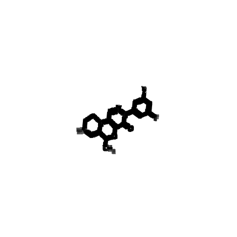 CC1Oc2c(cnn(-c3cc(F)cc(F)c3)c2=O)N2CCNCC12